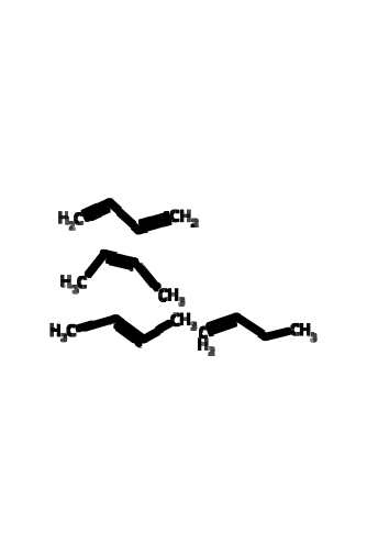 C/C=C/C.C/C=C\C.C=CC=C.C=CCC